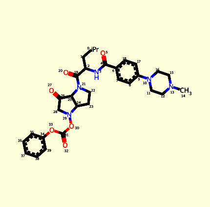 CC(C)CC(NC(=O)c1ccc(N2CCN(C)CC2)cc1)C(=O)N1CCC2C1C(=O)CN2OC(=O)Oc1ccccc1